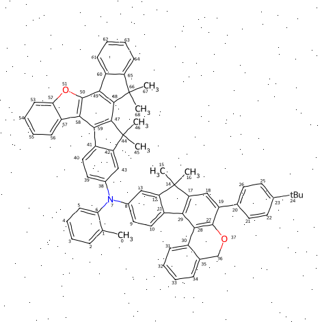 Cc1ccccc1N(c1ccc2c(c1)C(C)(C)c1cc(-c3ccc(C(C)(C)C)cc3)c3c(c1-2)-c1ccccc1CO3)c1ccc2c(c1)C(C)(C)c1c3c(c4oc5ccccc5c4c1-2)-c1ccccc1C3(C)C